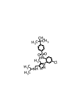 Cc1c(CNC(C)C)nnn1-c1cc(Cl)ccc1NS(=O)(=O)c1ccc(C(C)(C)C)cc1